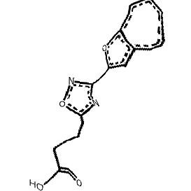 O=C(O)CCc1nc(-c2cc3ccccc3o2)no1